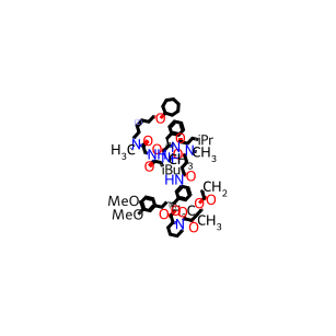 C=CC(=O)OCC(C)(C)C(=O)C(=O)N1CCCCC1C(=O)O[C@H](CCc1ccc(OC)c(OC)c1)c1cccc(NC(=O)CCC(=O)N(C)C(CC(C)C)C(=O)N[C@H](Cc2ccccc2)C(=O)N(C)C(C(=O)NCC(=O)N(C)CC/C=C\CCOC2CCCCCC2)C(C)CC)c1